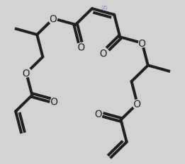 C=CC(=O)OCC(C)OC(=O)/C=C\C(=O)OC(C)COC(=O)C=C